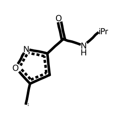 [CH]c1cc(C(=O)NC(C)C)no1